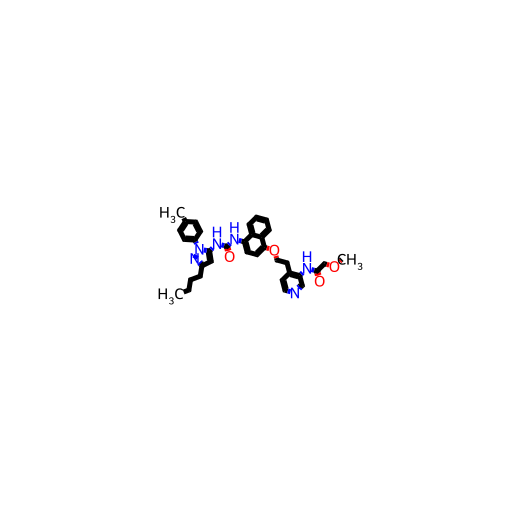 CCCCc1cc(NC(=O)Nc2ccc(OCCc3ccncc3NC(=O)COC)c3ccccc23)n(-c2ccc(C)cc2)n1